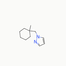 CC1(Cn2cccn2)CCCCC1